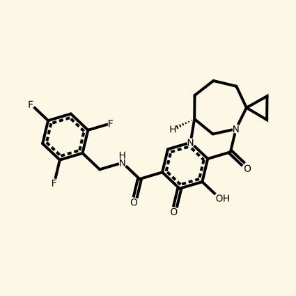 O=C(NCc1c(F)cc(F)cc1F)c1cn2c(c(O)c1=O)C(=O)N1C[C@@H]2CCCC12CC2